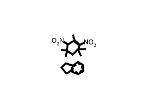 CC1=C([N+](=O)[O-])C(C)(C)CC(C)(C)C1[N+](=O)[O-].c1ccc2c(c1)CCC2